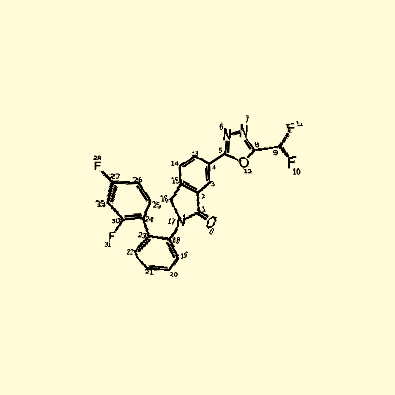 O=C1c2cc(-c3nnc(C(F)F)o3)ccc2CN1c1ccccc1-c1ccc(F)cc1F